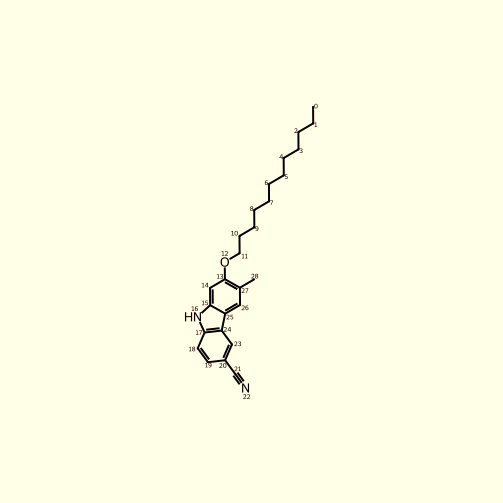 CCCCCCCCCCCCOc1cc2[nH]c3ccc(C#N)cc3c2cc1C